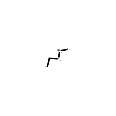 CCSPI